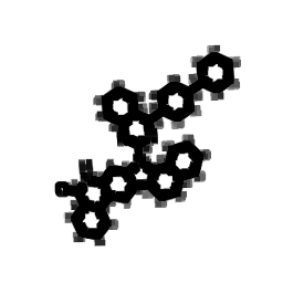 O=c1[nH]c2cc3c(cc2c2ccccc12)c1ccc2ccccc2c1n3-c1nc(-c2ccc(-c3ccccc3)cc2)c2ccccc2n1